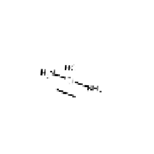 CC.Cl.[NH2][Cu][NH2]